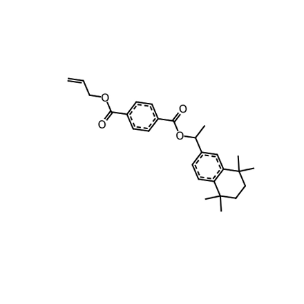 C=CCOC(=O)c1ccc(C(=O)OC(C)c2ccc3c(c2)C(C)(C)CCC3(C)C)cc1